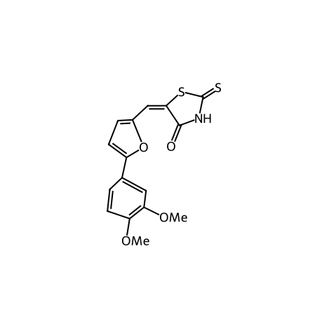 COc1ccc(-c2ccc(C=C3SC(=S)NC3=O)o2)cc1OC